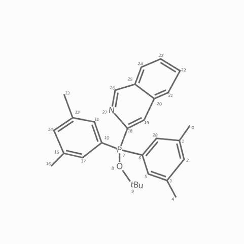 Cc1cc(C)cc([P](OC(C)(C)C)(c2cc(C)cc(C)c2)c2cc3ccccc3cn2)c1